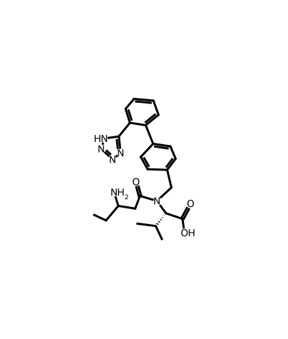 CCC(N)CC(=O)N(Cc1ccc(-c2ccccc2-c2nnn[nH]2)cc1)[C@H](C(=O)O)C(C)C